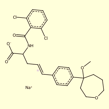 COC1(c2ccc(/C=C/CC(NC(=O)c3c(Cl)cccc3Cl)C(=O)[O-])cc2)CCCOCC1.[Na+]